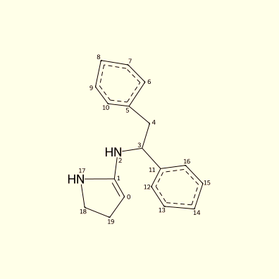 C1=C(NC(Cc2ccccc2)c2ccccc2)NCC1